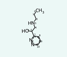 CCCNCC(O)c1cccnn1